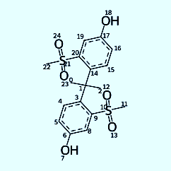 CC(C)(c1ccc(O)cc1S(C)(=O)=O)c1ccc(O)cc1S(C)(=O)=O